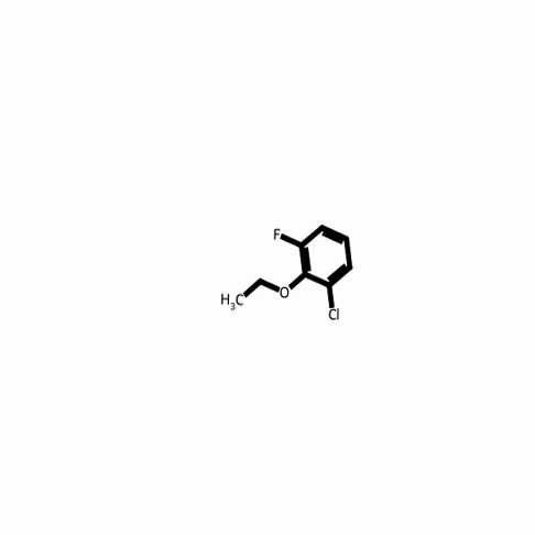 CCOc1c(F)cccc1Cl